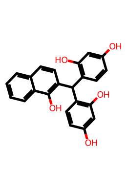 Oc1ccc(C(c2ccc(O)cc2O)c2ccc3ccccc3c2O)c(O)c1